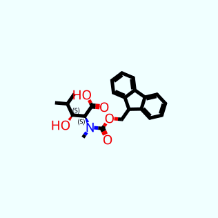 CC(C)[C@H](O)[C@@H](C(=O)O)N(C)C(=O)OCC1c2ccccc2-c2ccccc21